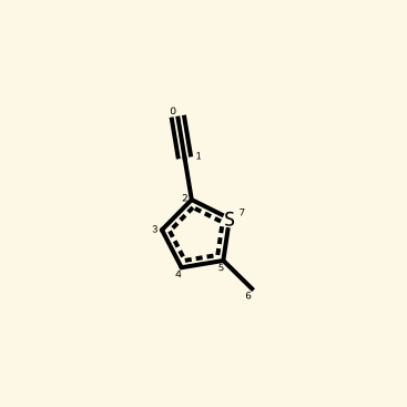 C#Cc1ccc(C)s1